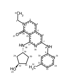 CCn1ccc2cc(Nc3cc(C)ccn3)nc(N[C@@H]3CC[C@@H](O)C3)c2c1=O